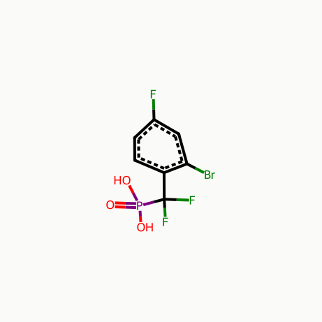 O=P(O)(O)C(F)(F)c1ccc(F)cc1Br